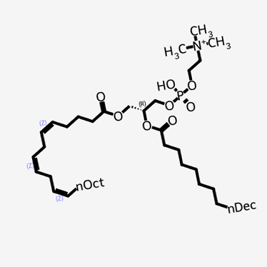 CCCCCCCC/C=C\C/C=C\C/C=C\CCCC(=O)OC[C@H](COP(=O)(O)OCC[N+](C)(C)C)OC(=O)CCCCCCCCCCCCCCCCC